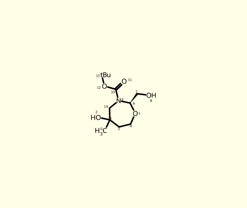 CC1(O)CCO[C@H](CO)N(C(=O)OC(C)(C)C)C1